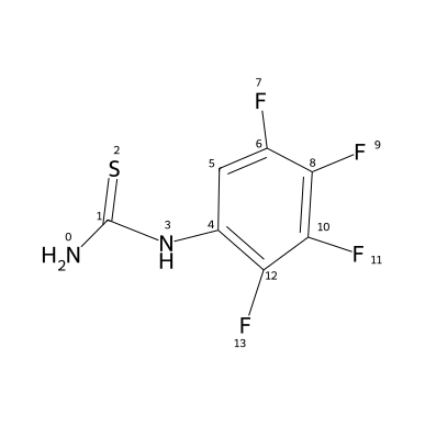 NC(=S)Nc1cc(F)c(F)c(F)c1F